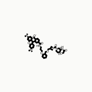 CN(C)c1ccc2c(-c3cc(C(=O)NCCCOc4ccccc4COCC4CN(C(=O)N5CC[C@@H]6OCC(=O)N[C@@H]6C5)C4)ccc3C(=O)[O-])c3ccc(=[N+](C)C)cc-3oc2c1